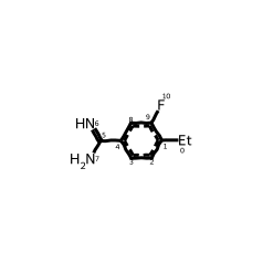 [CH2]Cc1ccc(C(=N)N)cc1F